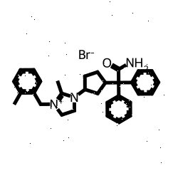 CC1=[N+](Cc2ccccc2C)CCN1C1CCC(C(C(N)=O)(c2ccccc2)c2ccccc2)C1.[Br-]